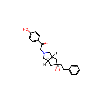 O=C(CN1C[C@@H]2C[C@](O)(CCc3ccccc3)C[C@@H]2C1)c1ccc(O)cc1